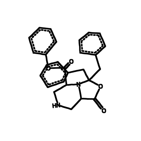 O=C(Oc1ccccc1)C1CNCC2C(=O)OC(Cc3ccccc3)(Cc3ccccc3)N12